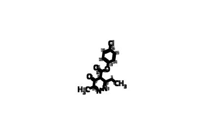 CCC1=NN=C(C)C(=O)C1C(=O)Oc1ccc(Cl)cc1